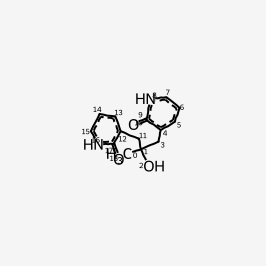 CC(O)(Cc1ccc[nH]c1=O)Cc1ccc[nH]c1=O